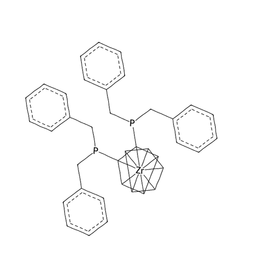 c1ccc(CP(Cc2ccccc2)[C]23[CH]4[CH]5[CH]6[C]2(P(Cc2ccccc2)Cc2ccccc2)[Zr]54632789[CH]3[CH]2[CH]7[CH]8[CH]39)cc1